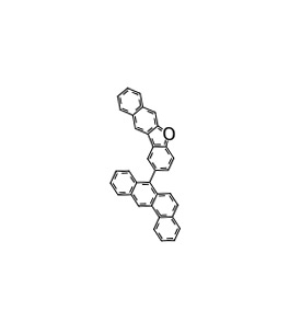 c1ccc2cc3c(cc2c1)oc1ccc(-c2c4ccccc4cc4c2ccc2ccccc24)cc13